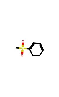 CS(=O)(=O)C1=CC=CCC1